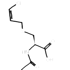 CC(=O)N[C@@H](CSC/C=C\Cl)C(=O)O